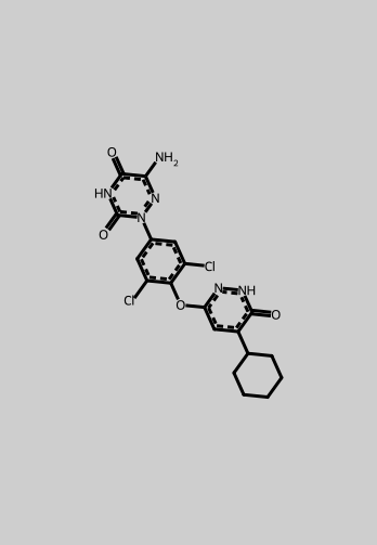 Nc1nn(-c2cc(Cl)c(Oc3cc(C4CCCCC4)c(=O)[nH]n3)c(Cl)c2)c(=O)[nH]c1=O